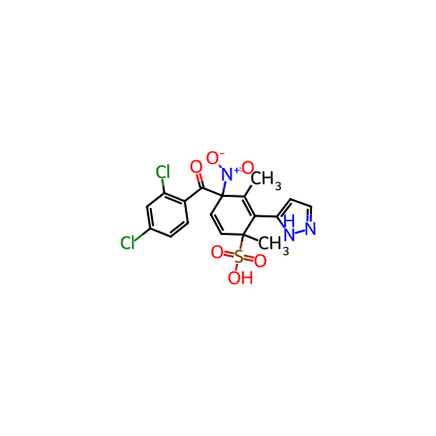 CC1=C(c2ccn[nH]2)C(C)(S(=O)(=O)O)C=CC1(C(=O)c1ccc(Cl)cc1Cl)[N+](=O)[O-]